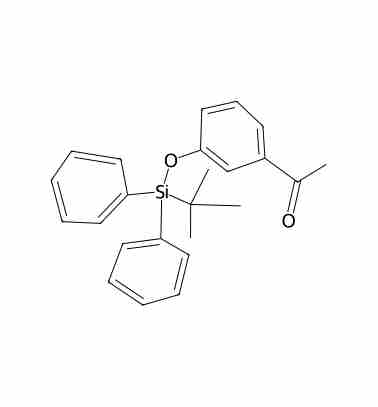 CC(=O)c1cccc(O[Si](c2ccccc2)(c2ccccc2)C(C)(C)C)c1